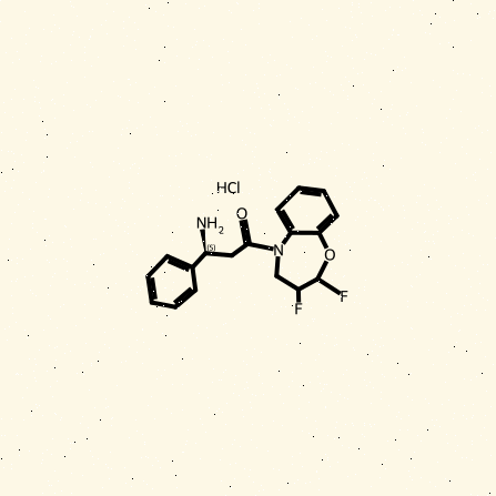 Cl.N[C@@H](CC(=O)N1CC(F)C(F)Oc2ccccc21)c1ccccc1